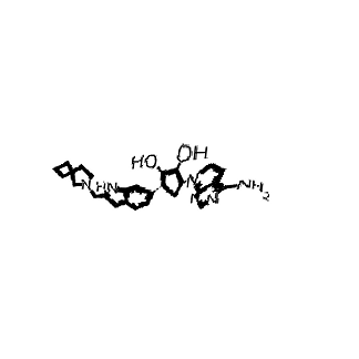 Nc1ncnc2c1ccn2[C@@H]1C[C@H](c2ccc3cc(CN4CCC5(CCC5)C4)[nH]c3c2)[C@@H](O)[C@H]1O